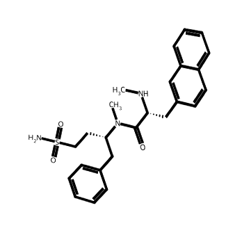 CN[C@H](Cc1ccc2ccccc2c1)C(=O)N(C)[C@@H](CCS(N)(=O)=O)Cc1ccccc1